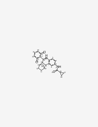 O=C(Nc1ccc2c(c1)C1C3CCC(C3)C1C(c1c(Cl)cccc1Cl)N2)C1CC1